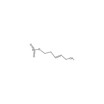 CCC=CCCO[SH](=O)=O